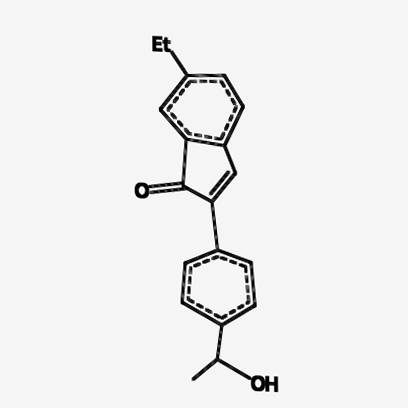 CCc1ccc2c(c1)C(=O)C(c1ccc(C(C)O)cc1)=C2